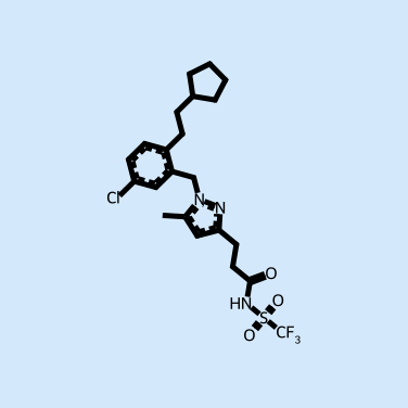 Cc1cc(CCC(=O)NS(=O)(=O)C(F)(F)F)nn1Cc1cc(Cl)ccc1CCC1CCCC1